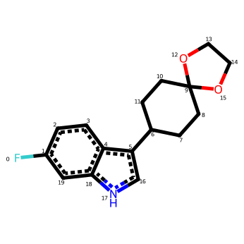 Fc1ccc2c(C3CCC4(CC3)OCCO4)c[nH]c2c1